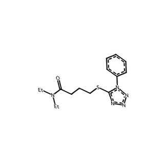 CCN(CC)C(=O)CCCSc1nnnn1-c1ccccc1